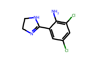 Nc1c(Cl)cc(Cl)cc1C1=NCCN1